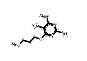 CNc1nc(N)nc(OCCCOC)c1N